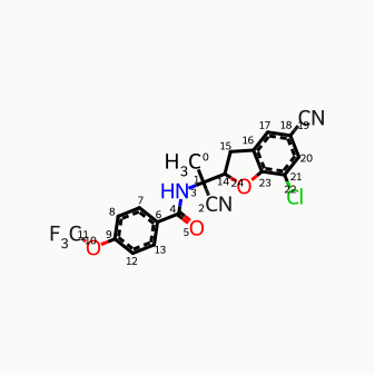 CC(C#N)(NC(=O)c1ccc(OC(F)(F)F)cc1)C1Cc2cc(C#N)cc(Cl)c2O1